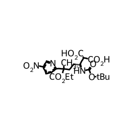 CCOC(=O)C(C)(CC[C@H](NC(=O)OC(C)(C)C)C(C(=O)O)C(=O)O)c1ccc([N+](=O)[O-])cn1